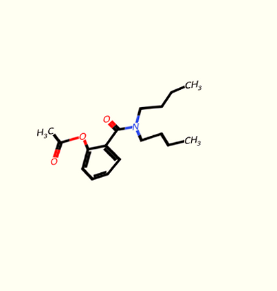 CCCCN(CCCC)C(=O)c1ccccc1OC(C)=O